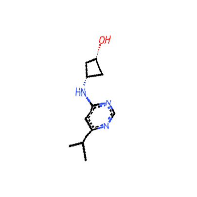 CC(C)c1cc(N[C@H]2C[C@@H](O)C2)ncn1